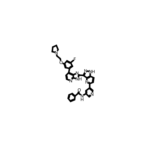 O=C(Nc1cncc(-c2ccc3[nH]nc(-c4nc5c(-c6cc(F)cc(OCCN7CCCC7)c6)ccnc5[nH]4)c3n2)c1)c1ccccc1